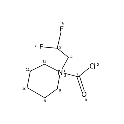 O=C(Cl)[N+]1(CC(F)F)CCCCC1